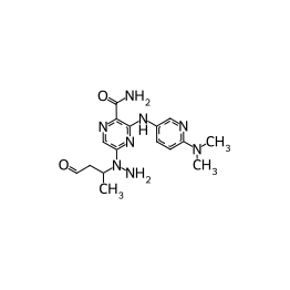 CC(CC=O)N(N)c1cnc(C(N)=O)c(Nc2ccc(N(C)C)nc2)n1